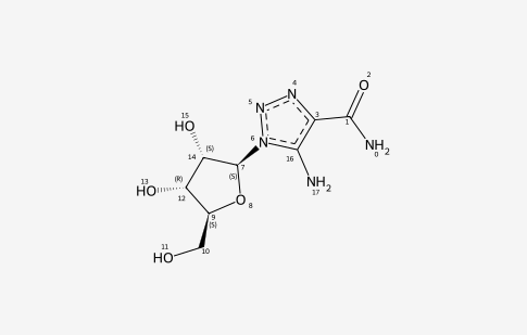 NC(=O)c1nnn([C@H]2O[C@@H](CO)[C@H](O)[C@@H]2O)c1N